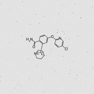 NC(=O)c1ccc(Oc2ccc(Cl)cn2)cc1C1CC2CCN(CC2)C1